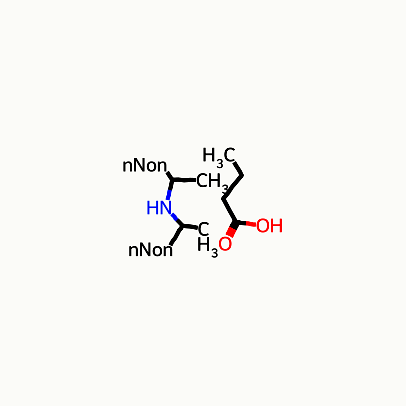 CCCC(=O)O.CCCCCCCCCC(C)NC(C)CCCCCCCCC